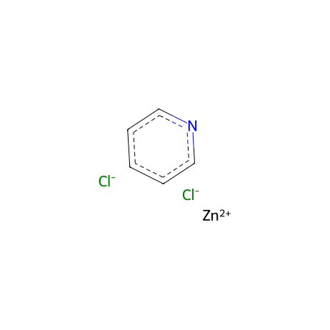 [Cl-].[Cl-].[Zn+2].c1ccncc1